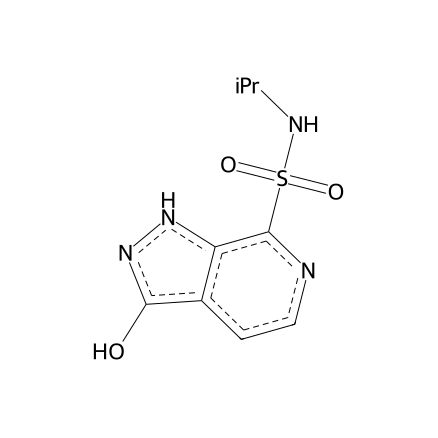 CC(C)NS(=O)(=O)c1nccc2c(O)n[nH]c12